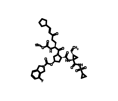 C=C[C@@H]1C[C@]1(NC(=O)[C@@H]1C[C@@H](OC(=O)N2Cc3cccc(F)c3C2)CN1C(=O)[C@H](CCC(=O)/C=C/C1CCCC1)NC(=O)OC(C)(C)C)C(=O)NS(=O)(=O)C1CC1